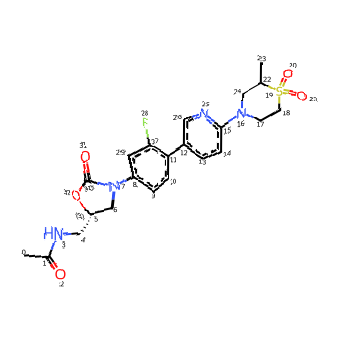 CC(=O)NC[C@H]1CN(c2ccc(-c3ccc(N4CCS(=O)(=O)C(C)C4)nc3)c(F)c2)C(=O)O1